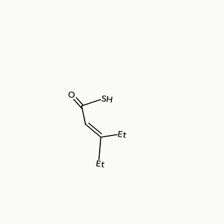 CCC(=CC(=O)S)CC